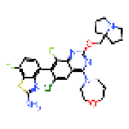 Nc1nc2c(-c3c(Cl)cc4c(N5CCCOCC5)nc(OCC56CCCN5CCC6)nc4c3F)ccc(F)c2s1